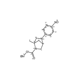 CC(C)(C)OC(=O)N1CC2CC1(C)CN2c1ccc(N=O)nc1